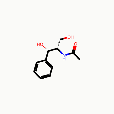 CC(=O)N[C@@H](CO)[C@@H](O)c1ccccc1